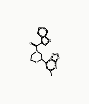 Cc1cc(C2CN(C(=O)c3csc4ccccc34)CCO2)n2ncnc2n1